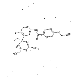 C#CCOc1cnc(C(=O)Nc2ccc(F)c([C@@]3(CF)N=C(N)S[C@@]4(CO)C=C43)c2)cn1